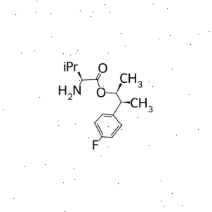 CC(C)[C@H](N)C(=O)O[C@@H](C)[C@@H](C)c1ccc(F)cc1